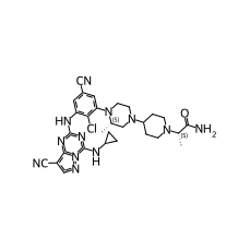 C[C@@H](C(N)=O)N1CCC(N2CCN(c3cc(C#N)cc(Nc4nc(NC5CC5)n5ncc(C#N)c5n4)c3Cl)[C@@H](C)C2)CC1